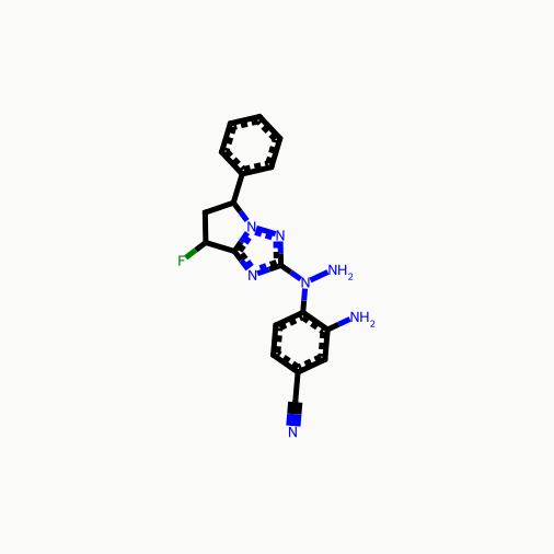 N#Cc1ccc(N(N)c2nc3n(n2)C(c2ccccc2)CC3F)c(N)c1